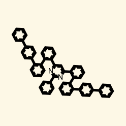 c1ccc(-c2ccc(-c3ccccc3-c3ccccc3-c3cc(-c4ccccc4-c4ccccc4-c4ccc(-c5ccccc5)cc4)nc(-c4ccccc4)n3)cc2)cc1